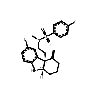 C=C1CCC[C@@H]2Nc3ccc(Br)cc3[C@]12CCN(C)S(=O)(=O)c1ccc(Cl)cc1